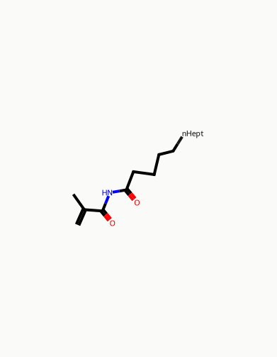 C=C(C)C(=O)NC(=O)CCCCCCCCCCC